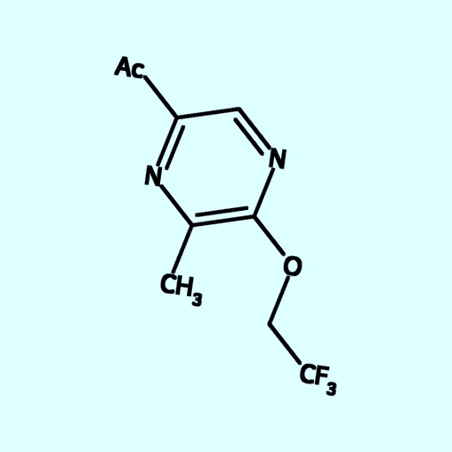 CC(=O)c1cnc(OCC(F)(F)F)c(C)n1